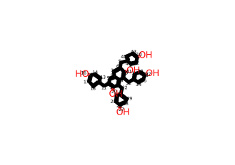 Oc1ccc(Cc2cc3cc(Cc4ccc(O)cc4)c(O)c(Cc4ccc(O)cc4)c3c(Cc3ccc(O)cc3)c2O)cc1